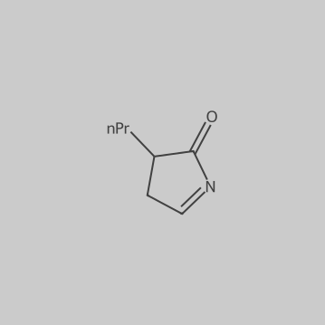 CCCC1CC=NC1=O